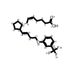 O=C(O)CCC/C=C\C[C@H]1CCCC1/C=C/CCOc1cccc(C(F)(F)F)c1